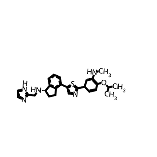 CNC1=C(OC(C)C)C=CC(c2ncc(-c3cccc4c3CC[C@@H]4NCc3ncc[nH]3)s2)C1